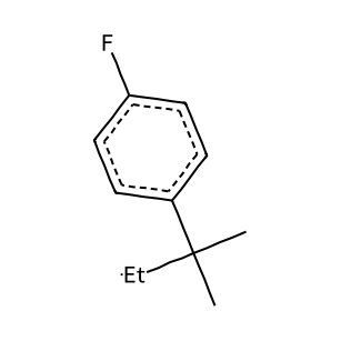 C[CH]C(C)(C)c1ccc(F)cc1